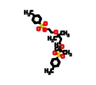 Cc1ccc(S(=O)(=O)OCCOC(C)(C)CCOC(C)(C)S(=O)(=O)c2ccc(C)cc2)cc1